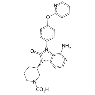 Nc1nccc2c1n(-c1ccc(Oc3ccccn3)cc1)c(=O)n2[C@@H]1CCCN(C(=O)O)C1